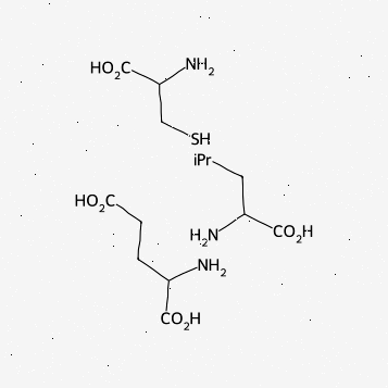 CC(C)CC(N)C(=O)O.NC(CCC(=O)O)C(=O)O.NC(CS)C(=O)O